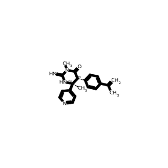 C=C(C)c1ccc([C@H]2C(=O)N(C)C(=N)N[C@]2(C)c2ccncc2)cc1